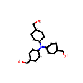 OCC1CCC(N(C2CCC(CO)CC2)C2CCC(CO)CC2)CC1